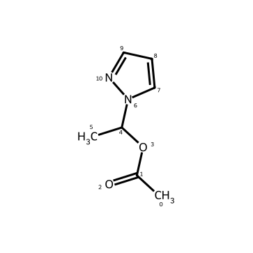 CC(=O)OC(C)n1cccn1